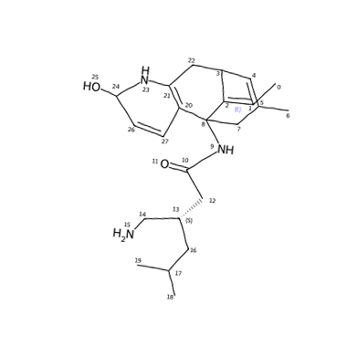 C/C=C1\C2C=C(C)CC1(NC(=O)C[C@@H](CN)CC(C)C)C1=C(C2)NC(O)C=C1